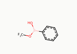 OB(OC(F)(F)F)c1ccccc1